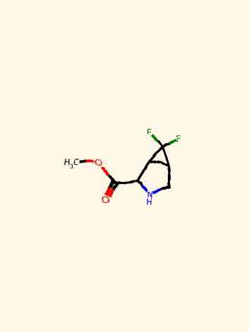 COC(=O)C1NCC2C1C2(F)F